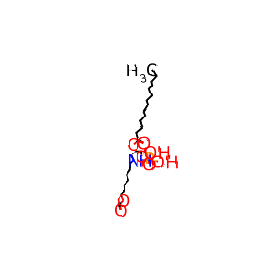 CCCCCCCCCCCCCC(=O)O[C@@H](CNCCCCCCCOC=O)COP(=O)(O)O